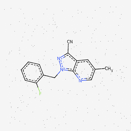 Cc1cnc2c(c1)c(C#N)nn2Cc1ccccc1F